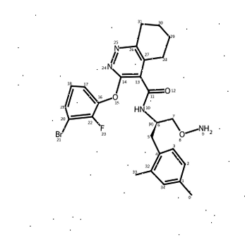 Cc1ccc(C[C@H](CON)NC(=O)c2c(Oc3cccc(Br)c3F)nnc3c2CCCC3)c(C)c1